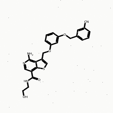 N#Cc1cccc(COc2cccc(OCc3csc4c(C(=O)NCCO)cnc(N)c34)c2)c1